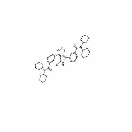 O=C1NC(c2cccc(C(=O)N(C3CCCCC3)C3CCCCC3)c2)=C2CONC(c3cccc(C(=O)N(C4CCCCC4)C4CCCCC4)c3)=C12